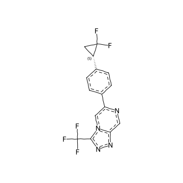 FC(F)(F)c1nnc2cnc(-c3ccc([C@@H]4CC4(F)F)cc3)cn12